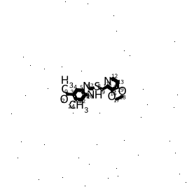 CC(=O)c1cc2nc(SCc3nccc4c3OCCO4)[nH]c2cc1C